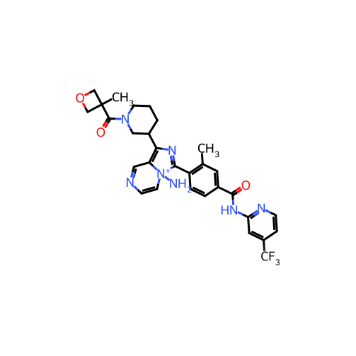 Cc1cc(C(=O)Nc2cc(C(F)(F)F)ccn2)ccc1C1=NC(C2CCCN(C(=O)C3(C)COC3)C2)=C2C=NC=C[N+]12N